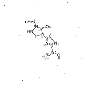 CCCCCCN1NCN(c2nnc([S+](C)[O-])s2)C1=O